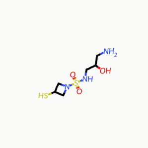 NCC(O)CNS(=O)(=O)N1CC(S)C1